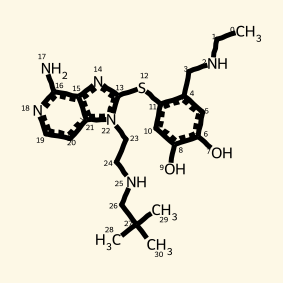 CCNCc1cc(O)c(O)cc1Sc1nc2c(N)nccc2n1CCNCC(C)(C)C